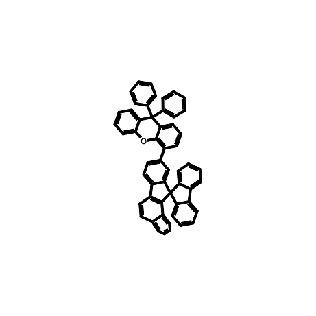 c1ccc(C2(c3ccccc3)c3ccccc3Oc3c(-c4ccc5c(c4)C4(c6ccccc6-c6ccccc64)c4c-5ccc5ccccc45)cccc32)cc1